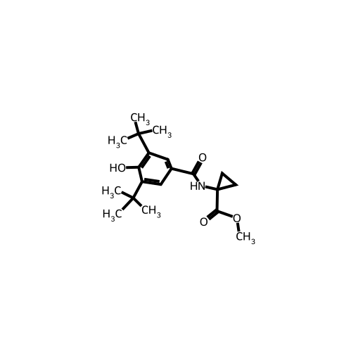 COC(=O)C1(NC(=O)c2cc(C(C)(C)C)c(O)c(C(C)(C)C)c2)CC1